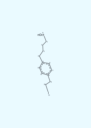 CCCCCCCCCCCCc1ccc(CCI)cc1